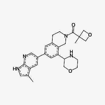 Cc1c[nH]c2ncc(-c3cc4c(c(C5COCCN5)c3)CN(C(=O)C3(C)COC3)CC4)cc12